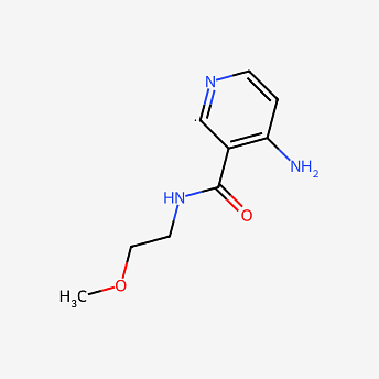 COCCNC(=O)c1[c]nccc1N